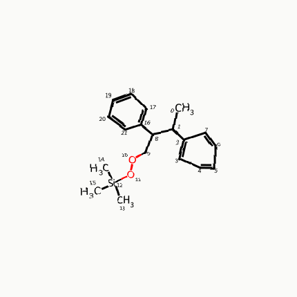 CC(c1ccccc1)C(COO[Si](C)(C)C)c1ccccc1